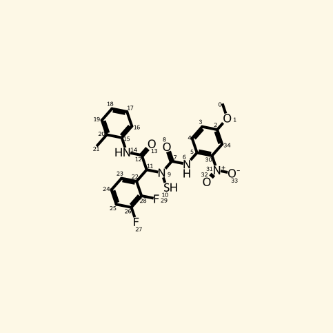 COc1ccc(NC(=O)N(S)C(C(=O)Nc2ccccc2C)c2cccc(F)c2F)c([N+](=O)[O-])c1